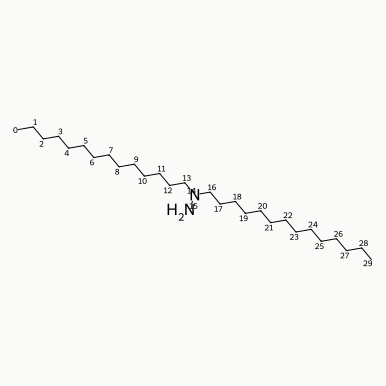 CCCCCCCCCCCCCCN(N)CCCCCCCCCCCCCC